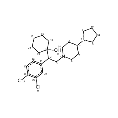 OC1(C(CN2CCC(N3CCCC3)CC2)c2ccc(Cl)c(Cl)c2)CCCCC1